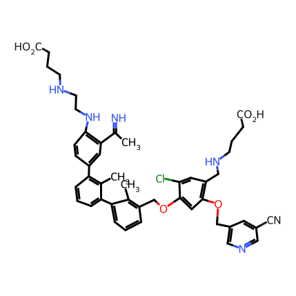 CC(=N)c1cc(-c2cccc(-c3cccc(COc4cc(OCc5cncc(C#N)c5)c(CNCCCC(=O)O)cc4Cl)c3C)c2C)ccc1NCCNCCCC(=O)O